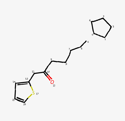 C1CCCC1.CCCCCC(=O)Cc1cccs1